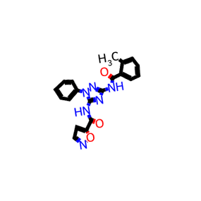 Cc1ccccc1C(=O)Nc1nc(NC(=O)c2ccno2)n(-c2ccccc2)n1